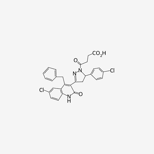 O=C(O)CCC(=O)N1N=C(c2c(Cc3ccccc3)c3cc(Cl)ccc3[nH]c2=O)CC1c1ccc(Cl)cc1